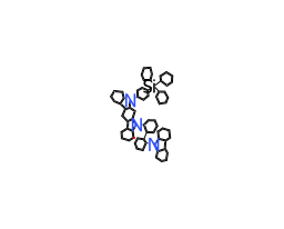 c1ccc([Si](c2ccccc2)(c2ccccc2)c2ccc(-n3c4ccccc4c4cc5c6ccccc6n(-c6ccccc6-c6ccccc6-n6c7ccccc7c7ccccc76)c5cc43)cc2)cc1